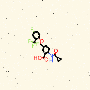 O=C(O)c1cc(COc2ccc(F)cc2C(F)(F)F)ccc1NC(=O)C1CC1